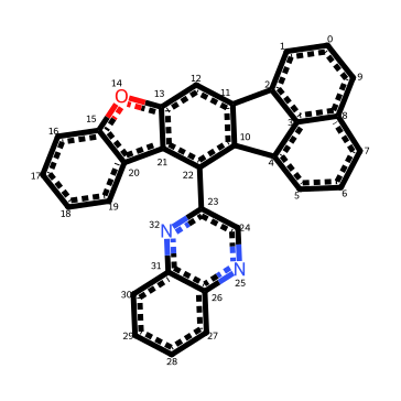 c1cc2c3c(cccc3c1)-c1c-2cc2oc3ccccc3c2c1-c1cnc2ccccc2n1